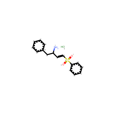 Cl.NC(C=CS(=O)(=O)c1ccccc1)Cc1ccccc1